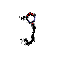 CO[C@H]1C[C@@H]2CC[C@@H](C)[C@@](O)(O2)C(=O)C(=O)N2CCCC[C@H]2C(=O)O[C@H]([C@H](N)C[C@@H]2CC[C@@H](O)[C@H](OC)C2)C[C@@H](O)[C@H](C)/C=C(\C)[C@@H](O)[C@@H](O)/C(=N/OCC(=O)NCc2cnc(N3CCN(C(=O)CCOCCN4CCN(c5ncc(C(=O)N6CCc7cc(Cn8nc(-c9ccc%10oc(N)nc%10c9)c9c(N)ncnc98)ccc7C6)cn5)CC4)CC3)nc2)[C@H](C)C[C@H](C)/C=C/C=C/C=C/1C